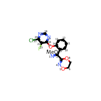 CON=C(C1=NOCCO1)c1ccccc1Oc1ncnc(Cl)c1F